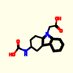 O=C(O)Cn1c2c(c3ccccc31)CC(NC(=O)O)CC2